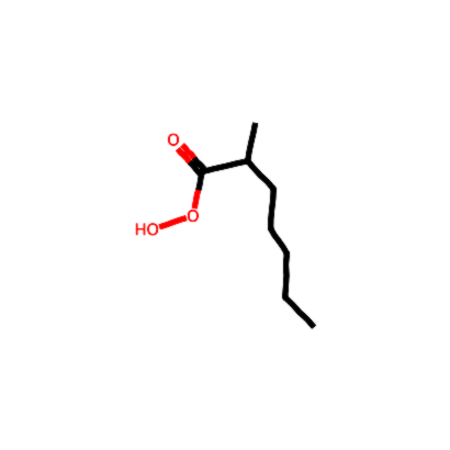 CCCCCC(C)C(=O)OO